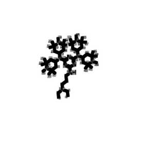 CCN(CC)CCCNc1nc(N(C2CC(C)(C)N(C)C(C)(C)C2)C2CC(C)(C)N(C)C(C)(C)C2)nc(N(C2CC(C)(C)N(C)C(C)(C)C2)C2CC(C)(C)N(C)C(C)(C)C2)n1